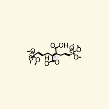 CO[Si](C=CC/C(C(=O)O)=C(/CC=C[Si](OC)(OC)OC)C(=O)O)(OC)OC